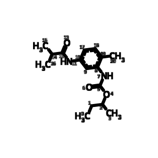 CCC(C)OC(=O)Nc1cc(NC(=O)C(C)C)ccc1C